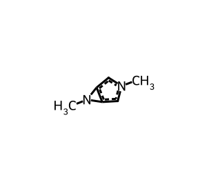 CN1c2cn(C)cc21